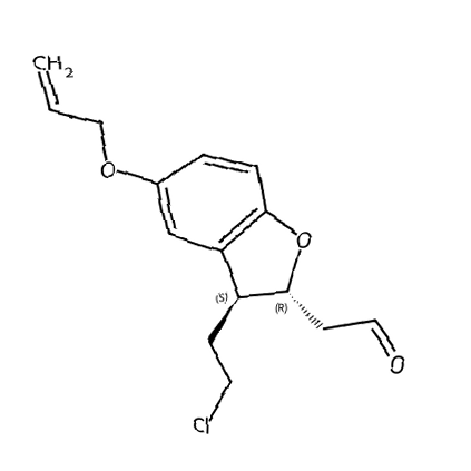 C=CCOc1ccc2c(c1)[C@H](CCCl)[C@@H](CC=O)O2